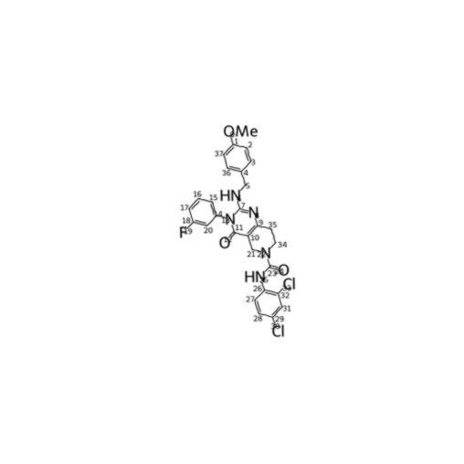 COc1ccc(CNc2nc3c(c(=O)n2-c2cccc(F)c2)CN(C(=O)Nc2ccc(Cl)cc2Cl)CC3)cc1